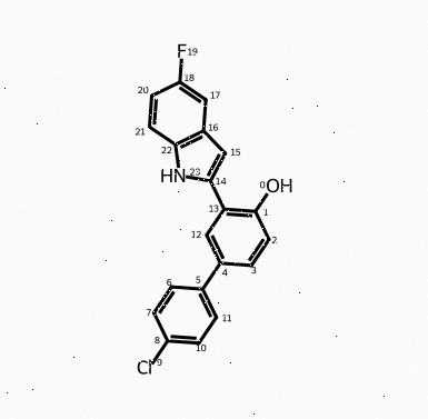 Oc1ccc(-c2ccc(Cl)cc2)cc1-c1cc2cc(F)ccc2[nH]1